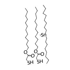 CCCCCCCCCCCCOC(=O)CS.CCCCCCCCCCCCOC(=O)CS.CCCCCCC[CH2][Sn][CH2]CCCCCCC